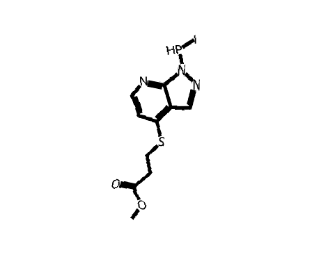 COC(=O)CCSc1ccnc2c1cnn2PI